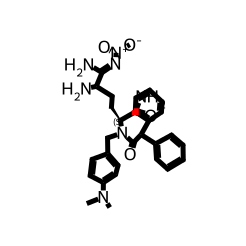 CN(C)c1ccc(CN(C(=O)C(c2ccccc2)c2ccccc2)[C@@H](CCC(N)C(N)=N[N+](=O)[O-])C(N)=O)cc1